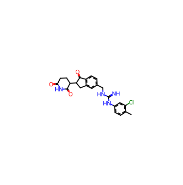 Cc1ccc(NC(=N)NCc2ccc3c(c2)CC(C2CCC(=O)NC2=O)C3=O)cc1Cl